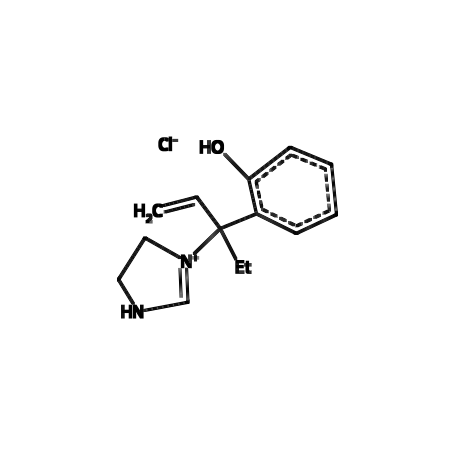 C=CC(CC)(c1ccccc1O)[N+]1=CNCC1.[Cl-]